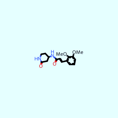 COc1cccc(C=CC(=O)NC2CCNC(=O)C2)c1OC